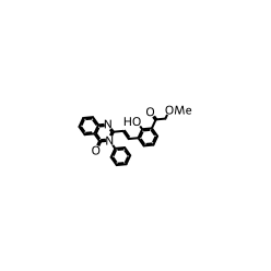 COCC(=O)c1cccc(C=Cc2nc3ccccc3c(=O)n2-c2ccccc2)c1O